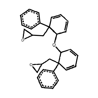 C1=CC(OC2C=CC=CC2(CC2CO2)c2ccccc2)C(CC2CO2)(c2ccccc2)C=C1